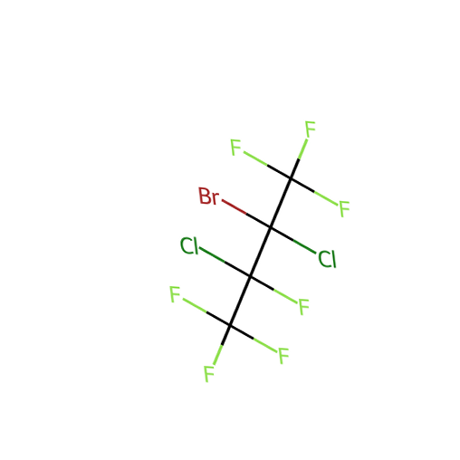 FC(F)(F)C(F)(Cl)C(Cl)(Br)C(F)(F)F